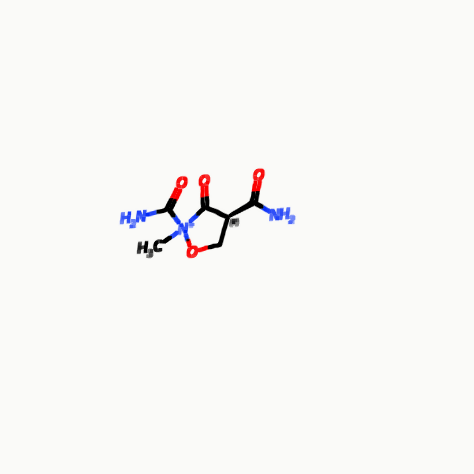 C[N+]1(C(N)=O)OC[C@H](C(N)=O)C1=O